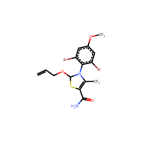 C=CCOC1SC(C(N)=O)=C(C(F)(F)F)N1c1c(Br)cc(OC(F)(F)F)cc1Br